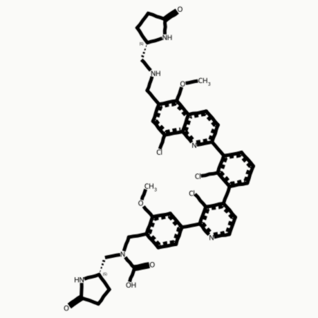 COc1cc(-c2nccc(-c3cccc(-c4ccc5c(OC)c(CNC[C@@H]6CCC(=O)N6)cc(Cl)c5n4)c3Cl)c2Cl)ccc1CN(C[C@@H]1CCC(=O)N1)C(=O)O